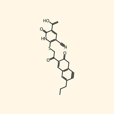 C=C(O)c1cc(C#N)c(SCC(=O)C2=Cc3cc(CCC)c#cc3CC2=O)[nH]c1=O